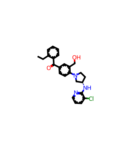 CCc1ccccc1C(=O)c1ccc(N2CC[C@H](Nc3ncccc3Cl)C2)c(CO)c1